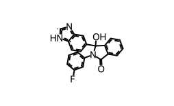 O=C1c2ccccc2C(O)(c2ccc3[nH][c]nc3c2)N1c1cccc(F)c1